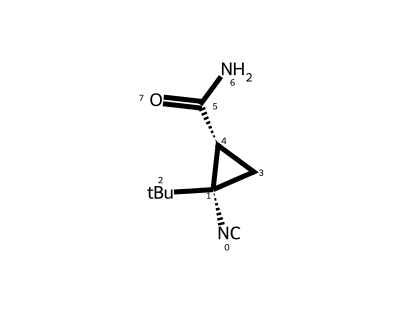 [C-]#[N+][C@@]1(C(C)(C)C)C[C@H]1C(N)=O